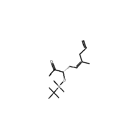 C=CC/C(C)=C\C[C@H](O[Si](C)(C)C(C)(C)C)C(C)=O